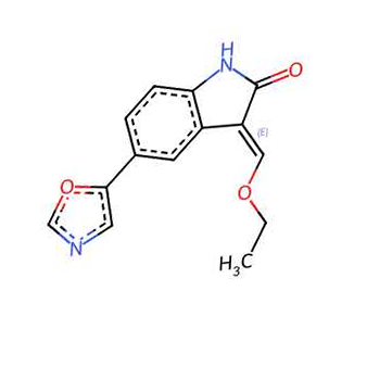 CCO/C=C1/C(=O)Nc2ccc(-c3cnco3)cc21